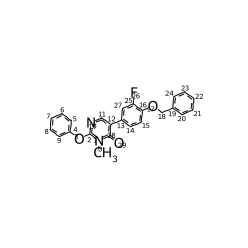 Cn1c(Oc2ccccc2)ncc(-c2ccc(OCc3ccccc3)c(F)c2)c1=O